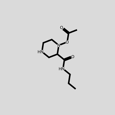 CCCNC(=O)C1CNCCN1OC(C)=O